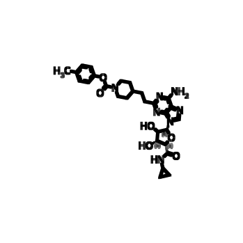 Cc1ccc(OC(=O)N2CCC(CCc3nc(N)c4ncn([C@@H]5O[C@H](C(=O)NC6CC6)[C@H](O)C5O)c4n3)CC2)cc1